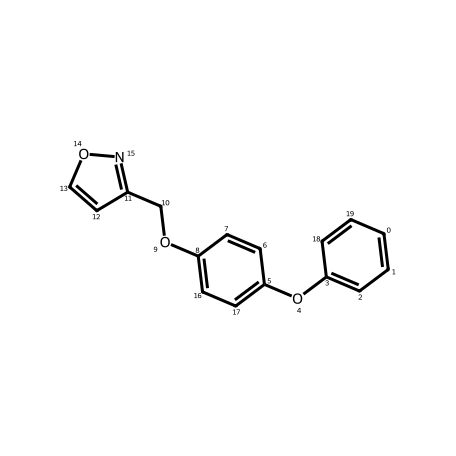 c1ccc(Oc2ccc(OCc3ccon3)cc2)cc1